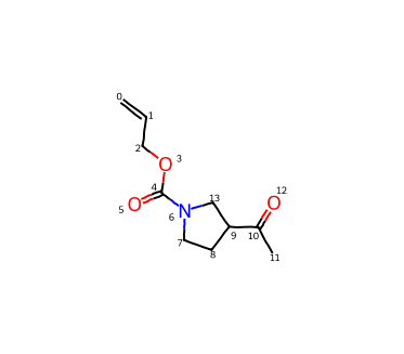 C=CCOC(=O)N1CCC(C(C)=O)C1